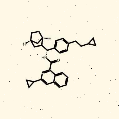 O=C(N[C@@H](c1ccc(CCC2CC2)cc1)C1C[C@@H]2CC[C@H]1C2)c1cc(C2CC2)cc2ccccc12